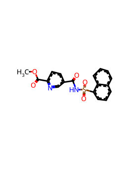 COC(=O)c1ccc(C(=O)NS(=O)(=O)c2cccc3ccccc23)cn1